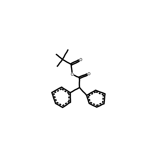 CC(C)(C)C(=O)OC(=O)C(c1ccccc1)c1ccccc1